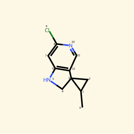 CC1CC12CNc1cc(Cl)ncc12